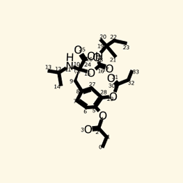 CCC(=O)Oc1ccc(C[C@](NC(C)C)(OC(=O)OC(C)(C)CC)C(=O)O)cc1OC(=O)CC